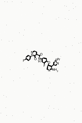 CCCn1cc(-c2c(Oc3ccc(NC(=O)c4ccnn(-c5ccc(F)cc5)c4=O)cc3F)ccnc2N)cn1